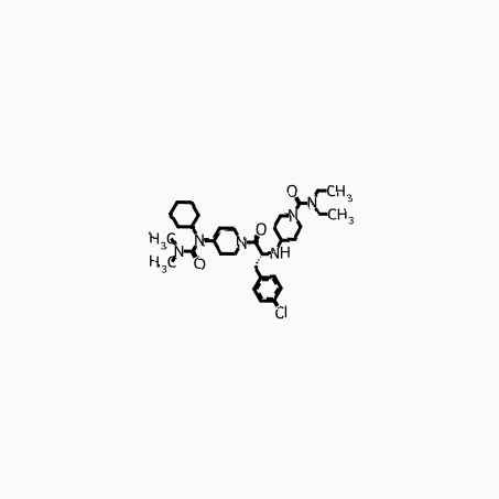 CCN(CC)C(=O)N1CCC(N[C@H](Cc2ccc(Cl)cc2)C(=O)N2CCC(N(C(=O)N(C)C)C3CCCCC3)CC2)CC1